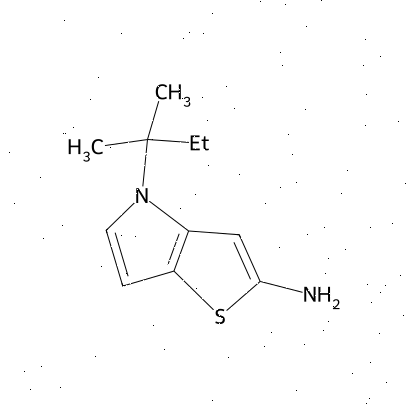 CCC(C)(C)n1ccc2sc(N)cc21